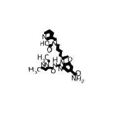 CCn1nc(C)cc1C(=O)Nc1nc2cc(C(N)=O)cc3c2n1[C@@H](CCCCN(Cc1cccnc1)C(=O)O)CO3